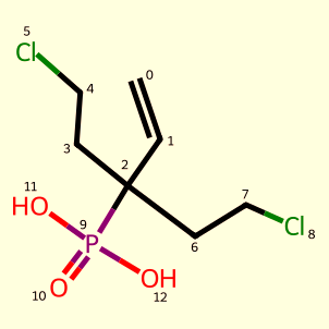 C=CC(CCCl)(CCCl)P(=O)(O)O